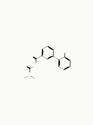 CN(C)C(=O)OC(=O)c1cc[c]c(-c2ccccc2F)c1